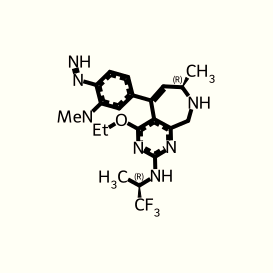 CCOc1nc(N[C@H](C)C(F)(F)F)nc2c1C(c1ccc(N=N)c(NC)c1)=C[C@@H](C)NC2